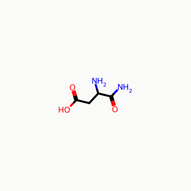 NC(=O)C(N)CC(=O)O